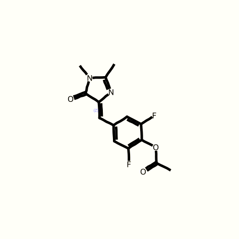 CC(=O)Oc1c(F)cc(/C=C2\N=C(C)N(C)C2=O)cc1F